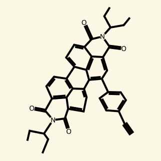 C#Cc1ccc(-c2cc3c4c(ccc5c6ccc7c8c(ccc(c2c45)c86)C(=O)N(C(CC)CC)C7=O)C(=O)N(C(CC)CC)C3=O)cc1